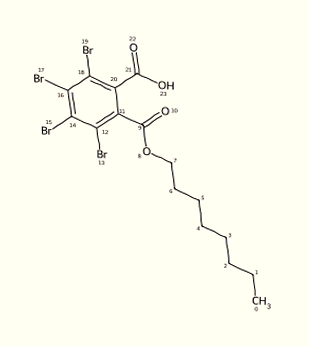 CCCCCCCCOC(=O)c1c(Br)c(Br)c(Br)c(Br)c1C(=O)O